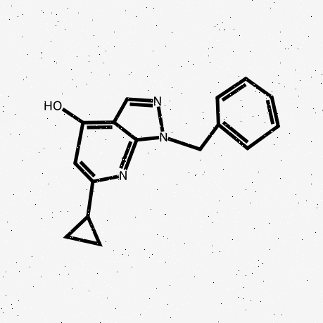 Oc1cc(C2CC2)nc2c1cnn2Cc1ccccc1